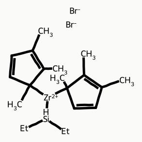 CC[SiH](CC)[Zr+2]([C]1(C)C=CC(C)=C1C)[C]1(C)C=CC(C)=C1C.[Br-].[Br-]